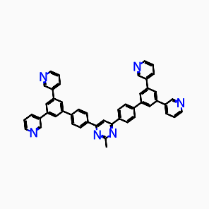 Cc1nc(-c2ccc(-c3cc(-c4cccnc4)cc(-c4cccnc4)c3)cc2)cc(-c2ccc(-c3cc(-c4cccnc4)cc(-c4cccnc4)c3)cc2)n1